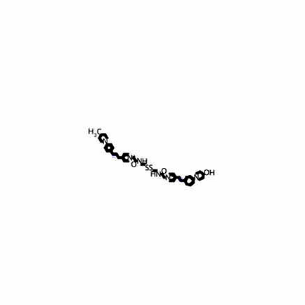 CC1CCN(c2ccc(/C=C/Cc3cc[n+](CC(=O)NCCSSCCNC(=O)C[n+]4ccc(/C=C/C5=CC=C(N6CCC(O)CC6)C=CC5)cc4)cc3)cc2)CC1